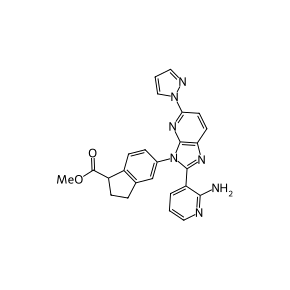 COC(=O)C1CCc2cc(-n3c(-c4cccnc4N)nc4ccc(-n5cccn5)nc43)ccc21